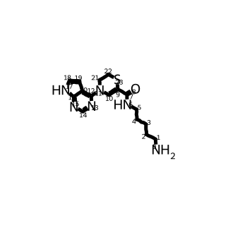 NCCCCCNC(=O)C1=CN(c2ncnc3[nH]ccc23)CCS1